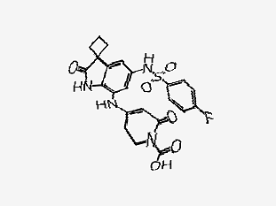 O=C(O)N1CCC(Nc2cc(NS(=O)(=O)c3ccc(F)cc3)cc3c2NC(=O)C32CCC2)=CC1=O